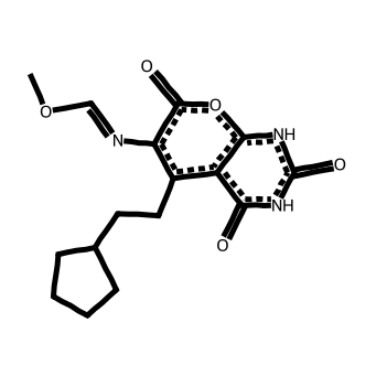 COC=Nc1c(CCC2CCCC2)c2c(=O)[nH]c(=O)[nH]c2oc1=O